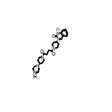 O=C(CCC(=O)N1CCC(N2Cc3ccccc3NC2=O)CC1)N1CCC(N2CCNCC2)CC1